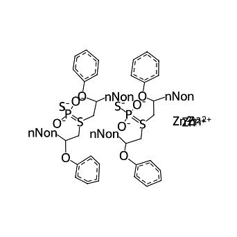 CCCCCCCCCC(CS(CC(CCCCCCCCC)Oc1ccccc1)=P([O-])([O-])[S-])Oc1ccccc1.CCCCCCCCCC(CS(CC(CCCCCCCCC)Oc1ccccc1)=P([O-])([O-])[S-])Oc1ccccc1.[Zn+2].[Zn+2].[Zn+2]